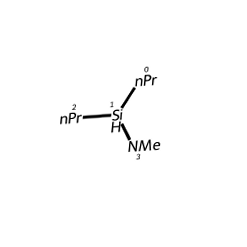 CCC[SiH](CCC)NC